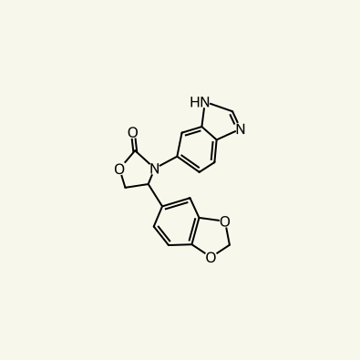 O=C1OCC(c2ccc3c(c2)OCO3)N1c1ccc2nc[nH]c2c1